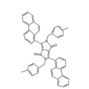 Cc1ccc(CN2C(=O)C3=C(c4cccc5c4ccc4ccccc45)N(Cc4ccc(C)cc4)C(=O)C3=C2c2cccc3c2ccc2ccccc23)cc1